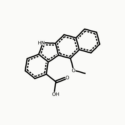 COc1c2ccccc2cc2[nH]c3cccc(C(=O)O)c3c12